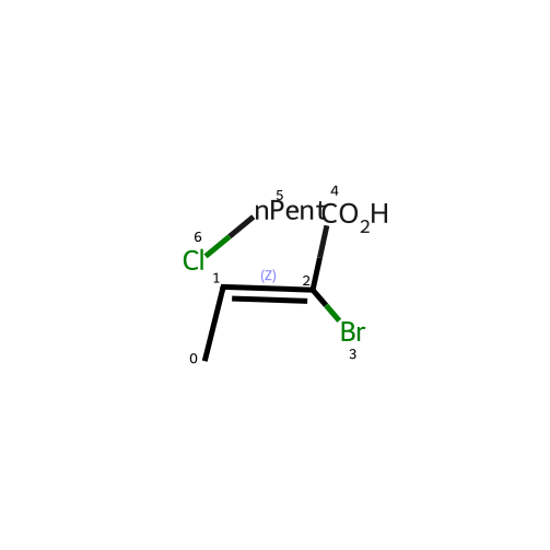 C/C=C(\Br)C(=O)O.CCCCCCl